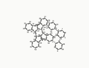 c1ccc(-c2cccc(-c3ccccc3)c2-c2ccc3c(c2)c2c4c5ccccc5n5c6ccccc6c(c6c7ccccc7n3c62)c45)cc1